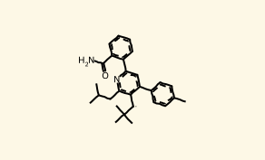 Cc1ccc(-c2cc(-c3ccccc3C(N)=O)nc(CC(C)C)c2[CH]C(C)(C)C)cc1